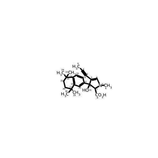 CC#CC1=CN(C)C(C(=O)O)C1(O)c1ccc2c(c1)C(C)(C)CCC2(C)C